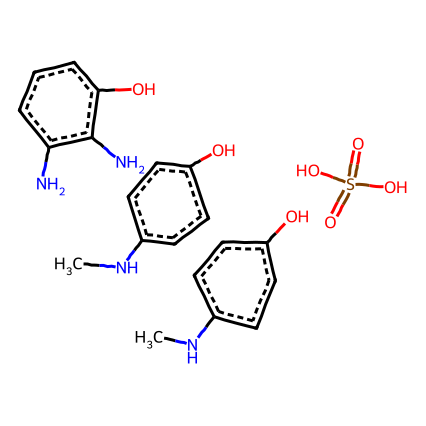 CNc1ccc(O)cc1.CNc1ccc(O)cc1.Nc1cccc(O)c1N.O=S(=O)(O)O